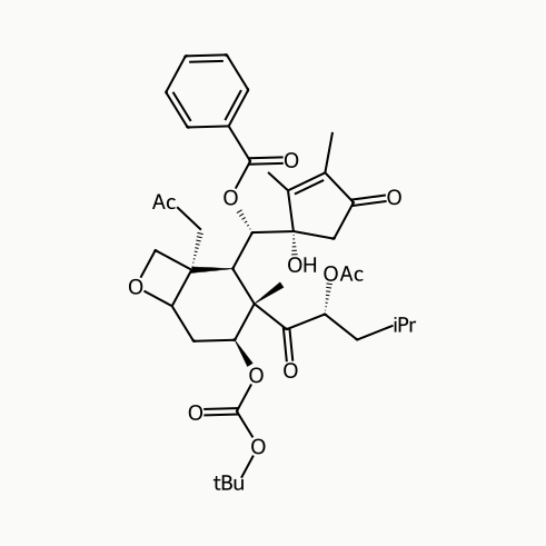 CC(=O)C[C@@]12COC1C[C@H](OC(=O)OC(C)(C)C)[C@@](C)(C(=O)[C@@H](CC(C)C)OC(C)=O)[C@@H]2[C@H](OC(=O)c1ccccc1)[C@]1(O)CC(=O)C(C)=C1C